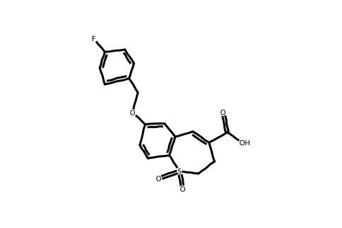 O=C(O)C1=Cc2cc(OCc3ccc(F)cc3)ccc2S(=O)(=O)CC1